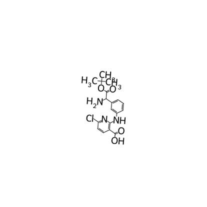 CC(C)(C)OC(=O)C(N)c1cccc(Nc2nc(Cl)ccc2C(=O)O)c1